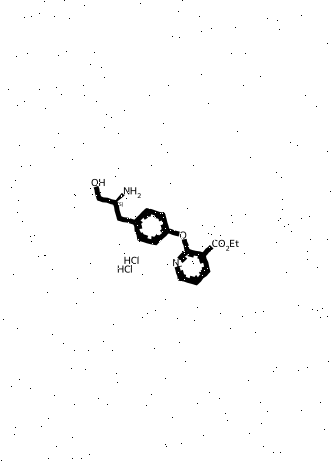 CCOC(=O)c1cccnc1Oc1ccc(C[C@H](N)CO)cc1.Cl.Cl